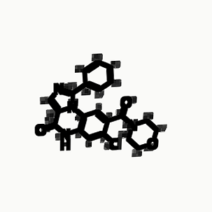 O=C(c1cc2c(cc1Cl)[nH]c(=O)c1cnc(-c3ccccc3)n12)N1CCOCC1